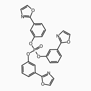 O=P(Oc1cccc(-c2ncco2)c1)(Oc1cccc(-c2ncco2)c1)Oc1cccc(-c2ncco2)c1